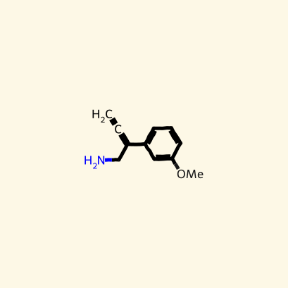 C=C=C(CN)c1cccc(OC)c1